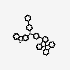 c1ccc(-c2ccc(N(c3ccc(-c4cccc5c4-c4ccccc4C54c5ccccc5-c5ccccc54)cc3)c3ccc4oc5ccccc5c4c3)cc2)cc1